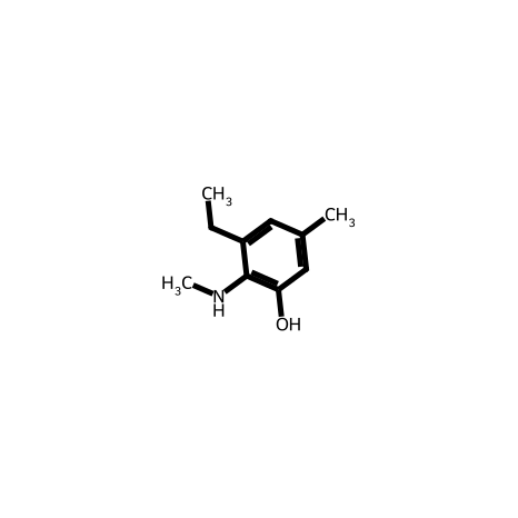 CCc1cc(C)cc(O)c1NC